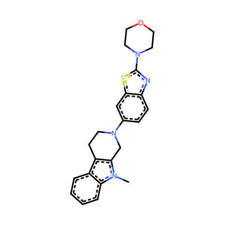 Cn1c2c(c3ccccc31)CCN(c1ccc3nc(N4CCOCC4)sc3c1)C2